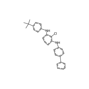 CC(C)(C)c1ccc(Nc2cccc(Nc3ccc(-c4ccccc4)cc3)c2Cl)cc1